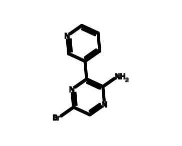 Nc1ncc(Br)nc1-c1cccnc1